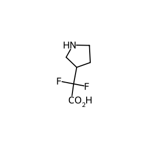 O=C(O)C(F)(F)C1CCNC1